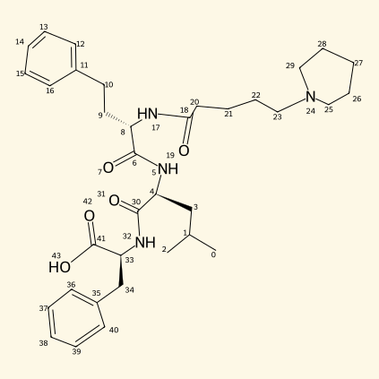 CC(C)C[C@H](NC(=O)[C@H](CCc1ccccc1)NC(=O)CCCCN1CCCCC1)C(=O)N[C@@H](Cc1ccccc1)C(=O)O